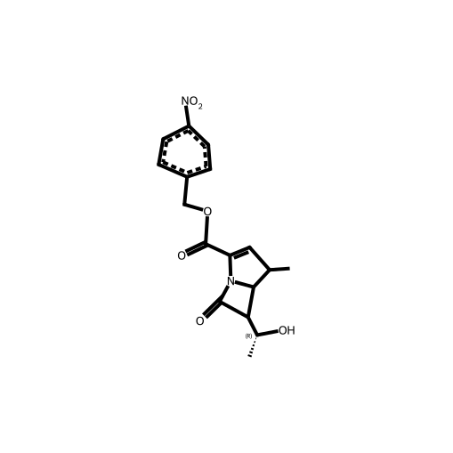 CC1C=C(C(=O)OCc2ccc([N+](=O)[O-])cc2)N2C(=O)C([C@@H](C)O)C12